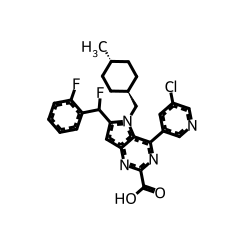 C[C@H]1CC[C@H](Cn2c(C(F)c3ccccc3F)cc3nc(C(=O)O)nc(-c4cncc(Cl)c4)c32)CC1